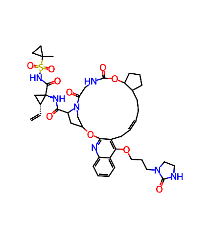 C=C[C@@H]1C[C@]1(NC(=O)C1CC2CN1C(=O)CNC(=O)OC1CCCC1CCC=CCc1c(nc3ccccc3c1OCCCN1CCNC1=O)O2)C(=O)NS(=O)(=O)C1(C)CC1